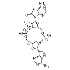 CC1[C@H]2OP(=O)(S)OC[C@@H]3C[C@H](OP(=O)(S)OCC2O[C@H]1n1c(=O)sc2c(N)ncnc21)[C@H](n1cnc2c(N)ncnc21)O3